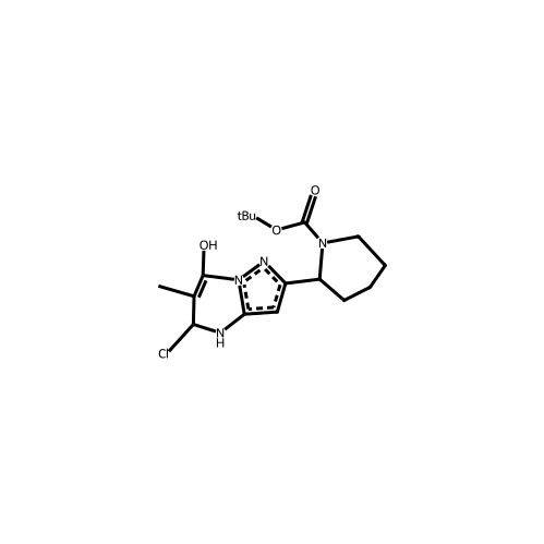 CC1=C(O)n2nc(C3CCCCN3C(=O)OC(C)(C)C)cc2NC1Cl